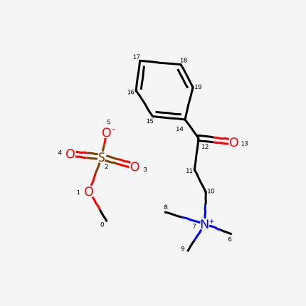 COS(=O)(=O)[O-].C[N+](C)(C)CCC(=O)c1ccccc1